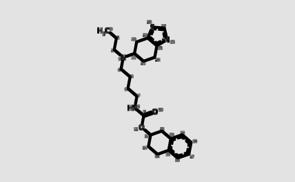 CCCN(CCCCNC(=O)OC1CCc2ccccc2C1)C1CCc2ncsc2C1